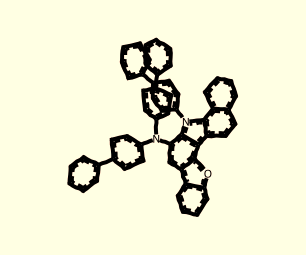 c1ccc(-c2ccc(N(c3ccc(-c4ccccc4)cc3)c3cc4c5ccccc5oc4c4c5ccc6ccccc6c5n(-c5ccc(-c6ccccc6)cc5)c34)cc2)cc1